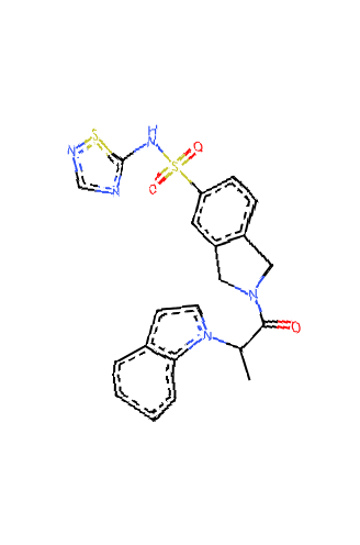 CC(C(=O)N1Cc2ccc(S(=O)(=O)Nc3ncns3)cc2C1)n1ccc2ccccc21